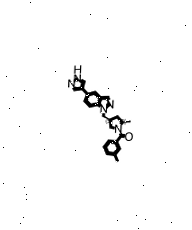 Cc1cccc(C(=O)N2C[C@@H](Cn3ncc4cc(-c5cn[nH]c5)ccc43)C[C@H]2C)c1